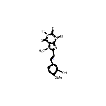 CCn1c(=O)c2c(nc(/C=C/c3ccc(OC)c(O)c3)n2C)n(CC)c1=O